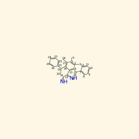 Cc1c(C)c(C(C)c2ccccc2)c(C(=N)C=N)c(C(C)c2ccccc2)c1C